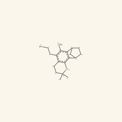 CC(=O)Oc1c(CCC(C)C)c2c(c3c1C1CCC3C1)OC(C)(C)CC2